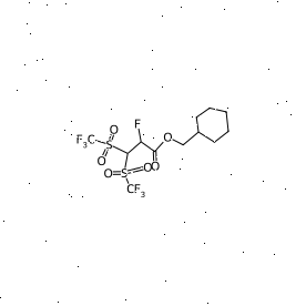 O=C(OCC1CCCCC1)C(F)C(S(=O)(=O)C(F)(F)F)S(=O)(=O)C(F)(F)F